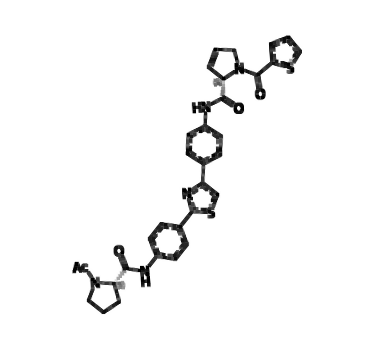 CC(=O)N1CCC[C@H]1C(=O)Nc1ccc(-c2nc(-c3ccc(NC(=O)[C@@H]4C=CCN4C(=O)c4cccs4)cc3)cs2)cc1